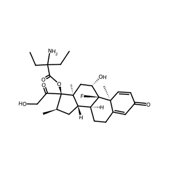 CCC(N)(CC)C(=O)O[C@]1(C(=O)CO)[C@H](C)C[C@H]2[C@@H]3CCC4=CC(=O)C=C[C@]4(C)[C@@]3(F)[C@@H](O)C[C@@]21C